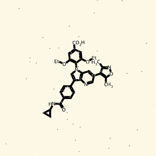 CCOc1cc(C(=O)O)cc(OCC)c1-n1cc(-c2ccc(C(=O)NC3CC3)cc2)c2ncc(-c3c(C)noc3C)cc21